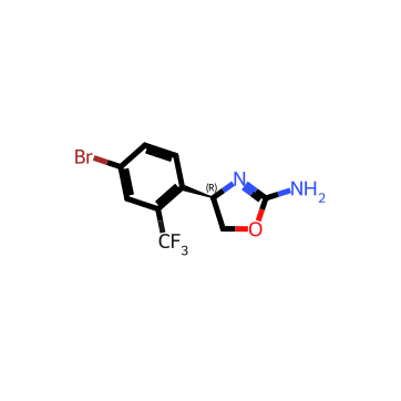 NC1=N[C@H](c2ccc(Br)cc2C(F)(F)F)CO1